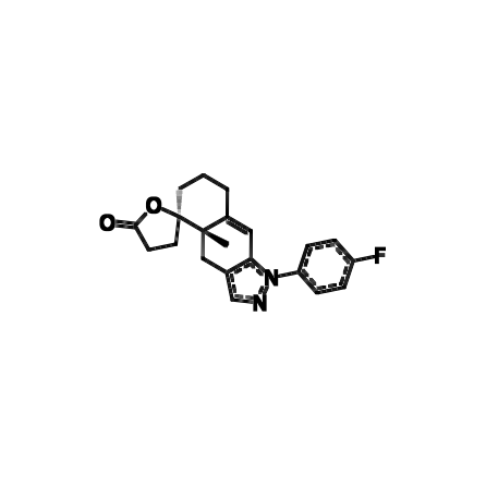 C[C@]12Cc3cnn(-c4ccc(F)cc4)c3C=C1CCC[C@@]21CCC(=O)O1